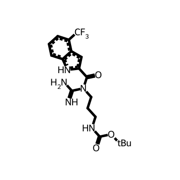 CC(C)(C)OC(=O)NCCCN(C(=N)N)C(=O)c1cc2c(C(F)(F)F)cccc2[nH]1